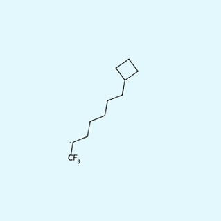 FC(F)(F)[CH]CCCCCC1CCC1